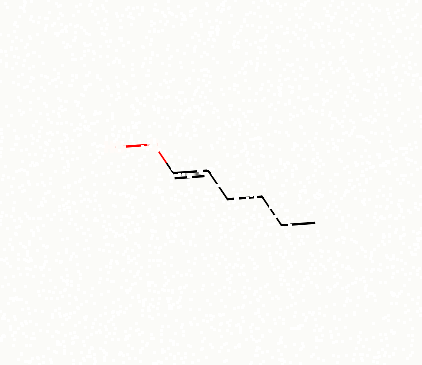 CCCCC=COO